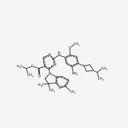 COc1cc(N2CC(N(C)C)C2)c(N)cc1Nc1ncc(C(=O)OC(C)C)c(N2CC(C)(C)c3nc(C)ccc32)n1